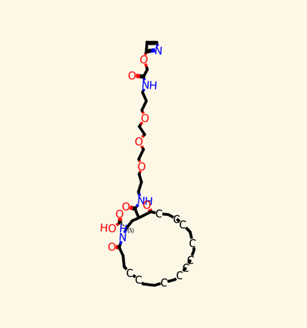 O=C(COC1=NC=C1)NCCCOCCOCCOCCCNC(=O)C1C[C@@H](C(=O)O)NC(=O)CCCCCCCCCCCCCCCCCCC1=O